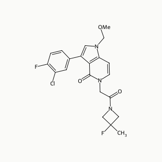 COCn1cc(-c2ccc(F)c(Cl)c2)c2c(=O)n(CC(=O)N3CC(C)(F)C3)ccc21